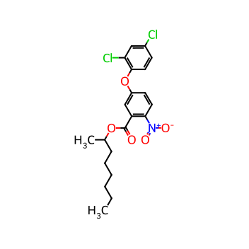 CCCCCCC(C)OC(=O)c1cc(Oc2ccc(Cl)cc2Cl)ccc1[N+](=O)[O-]